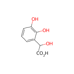 O=C(O)C(O)c1cccc(O)c1O